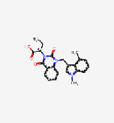 CC[C@H](C(=O)O)n1c(=O)c2ccccc2n(Cc2cn(C)c3cccc(C)c23)c1=O